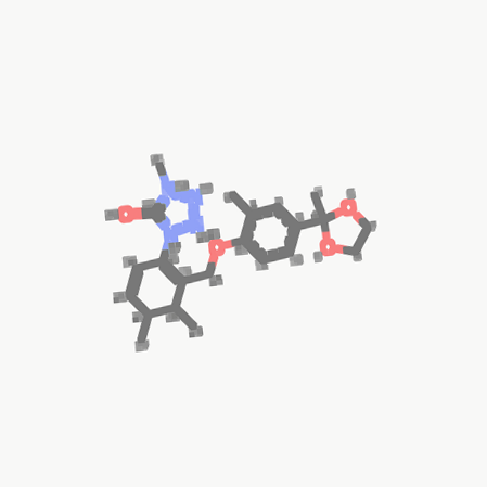 Cc1cc(C2(C)OCCO2)ccc1OCC1=C(n2nnn(C)c2=O)C=CC(C)C1C